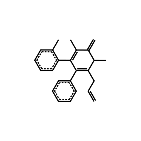 C=CCC1=C(c2ccccc2)C(c2ccccc2C)=C(C)C(=C)C1C